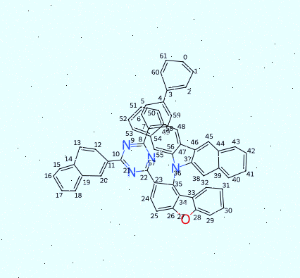 c1ccc(-c2ccc(-c3nc(-c4ccc5ccccc5c4)nc(-c4ccc5oc6ccccc6c5c4-n4c5cc6ccccc6cc5c5cc6ccccc6cc54)n3)cc2)cc1